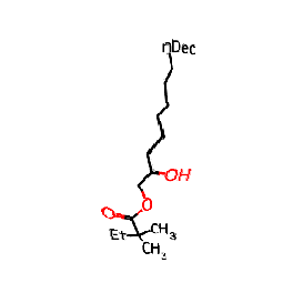 CCCCCCCCCCCCCCCCC(O)COC(=O)C(C)(C)CC